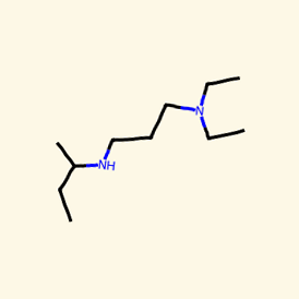 CCC(C)NCCCN(CC)CC